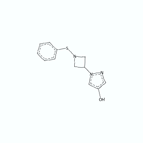 Oc1cnn(C2CN(Sc3ccccc3)C2)c1